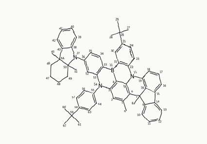 Cc1cc2c3c4c1C1(C)c5ccccc5-c5cccc(c51)N4c1ccc(C(C)(C)C)cc1B3c1ccc(N3c4ccccc4C4(C)CCCCC34C)cc1N2c1ccc(C(C)(C)C)cc1